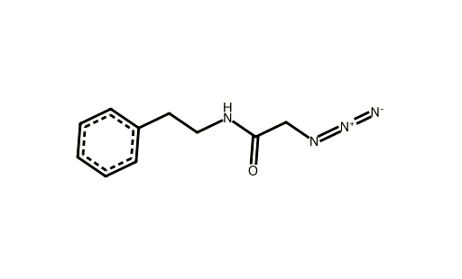 [N-]=[N+]=NCC(=O)NCCc1ccccc1